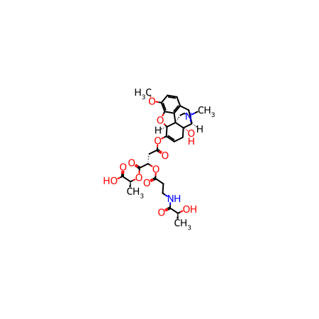 COc1ccc2c3c1O[C@@H]1C(OC(=O)C[C@H](OC(=O)CCNC(=O)[C@H](C)O)C(=O)O[C@@H](C)C(=O)O)=CC[C@]4(O)[C@H](C2)N(C)CC[C@@]314